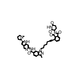 Cc1nn(CCCCCC#Cc2cccc3c2C(=O)N(C2CCC(=O)NC2=O)C3=O)c2cc(C(=O)Nc3cc4[nH]c([C@H]5CCCN5C)cc4cn3)ccc12